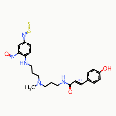 CN(CCCNC(=O)/C=C/c1ccc(O)cc1)CCCNc1ccc(N=S=S)cc1N=O